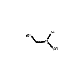 CCCN(CC(C)(C)C)C(C)=O